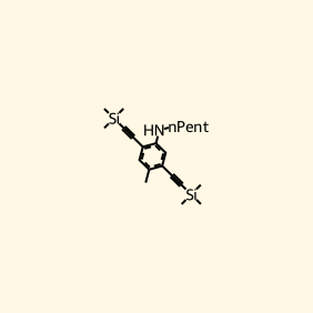 CCCCCNc1cc(C#C[Si](C)(C)C)c(C)cc1C#C[Si](C)(C)C